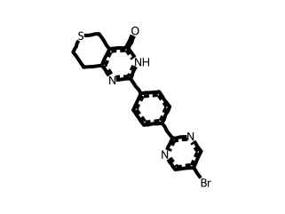 O=c1[nH]c(-c2ccc(-c3ncc(Br)cn3)cc2)nc2c1CSCC2